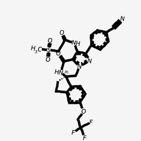 CS(=O)(=O)CC(=O)Nc1c(-c2ccc(C#N)cc2)nn2c1C(=O)N[C@@]1(CCc3cc(OCC(F)(F)F)ccc31)C2